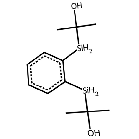 CC(C)(O)[SiH2]c1ccccc1[SiH2]C(C)(C)O